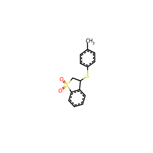 Cc1ccc(SC2CS(=O)(=O)c3ccccc32)cc1